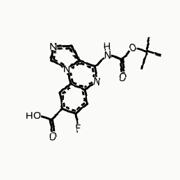 CC(C)(C)OC(=O)Nc1nc2cc(F)c(C(=O)O)cc2n2cncc12